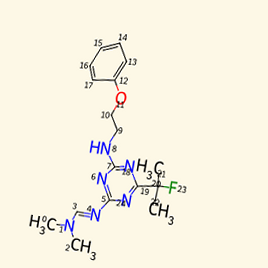 CN(C)C=Nc1nc(NCCOc2ccccc2)nc(C(C)(C)F)n1